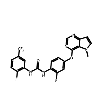 Cn1ccc2ncnc(Oc3ccc(NC(=O)Nc4cc(C(F)(F)F)ccc4F)c(F)c3)c21